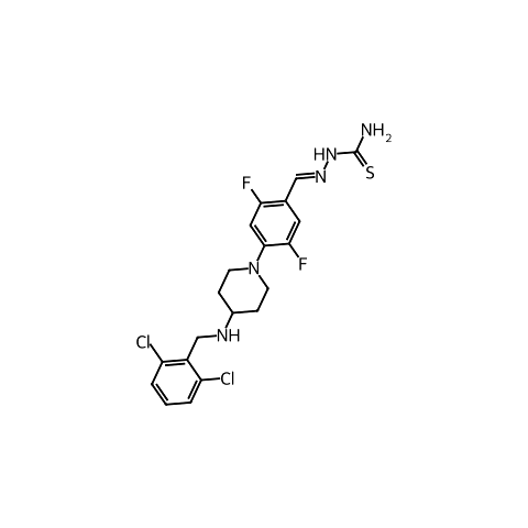 NC(=S)NN=Cc1cc(F)c(N2CCC(NCc3c(Cl)cccc3Cl)CC2)cc1F